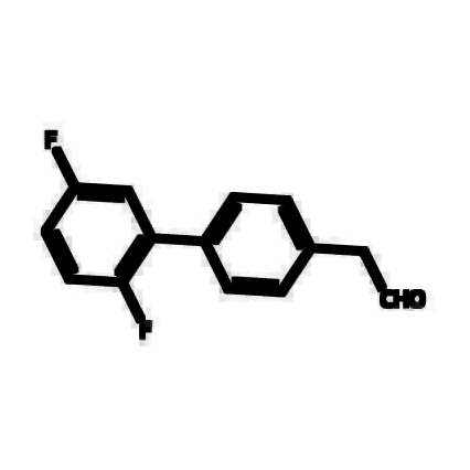 O=CCc1ccc(-c2cc(F)ccc2F)cc1